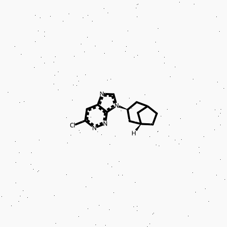 Clc1cc2ncn([C@H]3CC4CC[C@@H](C4)C3)c2nn1